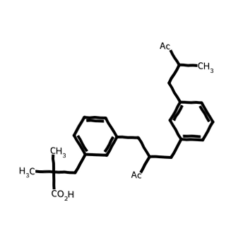 CC(=O)C(C)Cc1cccc(CC(Cc2cccc(CC(C)(C)C(=O)O)c2)C(C)=O)c1